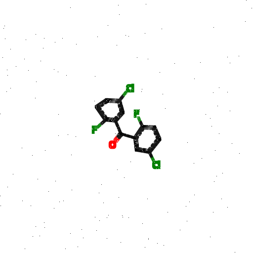 O=C(c1cc(Cl)ccc1F)c1cc(Cl)ccc1F